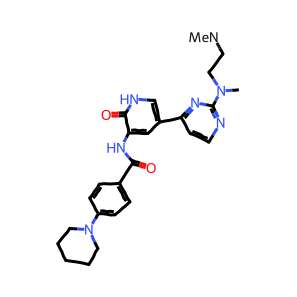 CNCCN(C)c1nccc(-c2c[nH]c(=O)c(NC(=O)c3ccc(N4CCCCC4)cc3)c2)n1